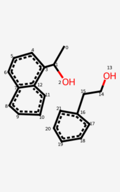 CC(O)c1cccc2ccccc12.OCCc1ccccc1